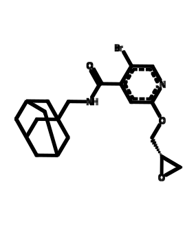 O=C(NCC12CC3CC(CC(C3)C1)C2)c1cc(OC[C@@H]2CO2)ncc1Br